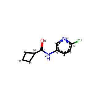 O=C(Nc1ccc(F)nc1)C1CCC1